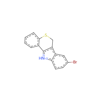 Brc1ccc2[nH]c3c(c2c1)CSc1ccccc1-3